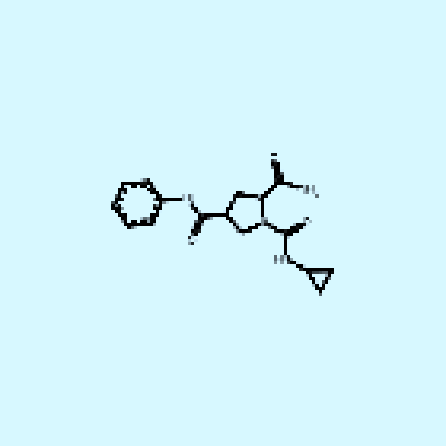 NC(=O)C1CC(C(=O)Nc2ccccc2)CN1C(=O)NC1CC1